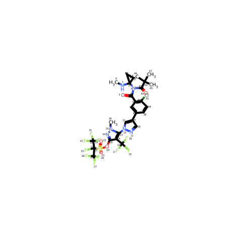 CNC1(N(C(=O)c2cc(-c3cnn(-c4c(C(F)(F)F)c(OS(=O)(=O)C(F)(C(F)(F)F)C(F)(F)F)nn4C)c3)ccc2Cl)C(=O)C(C)(C)C)CC1